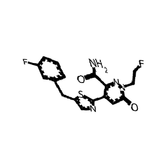 NC(=O)c1nn(CCF)c(=O)cc1-c1ncc(Cc2cccc(F)c2)s1